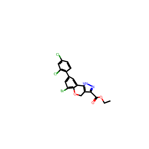 CCOC(=O)c1n[nH]c2c1COc1c(Br)cc(-c3ccc(Cl)cc3Cl)cc1-2